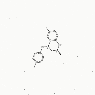 Cc1ccc(N[C@H]2C[C@H](C)Nc3ccc(C)cc32)cc1